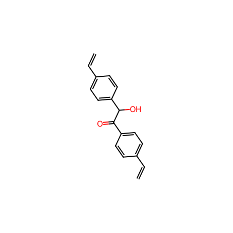 C=Cc1ccc(C(=O)C(O)c2ccc(C=C)cc2)cc1